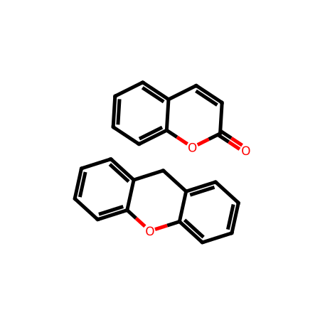 O=c1ccc2ccccc2o1.c1ccc2c(c1)Cc1ccccc1O2